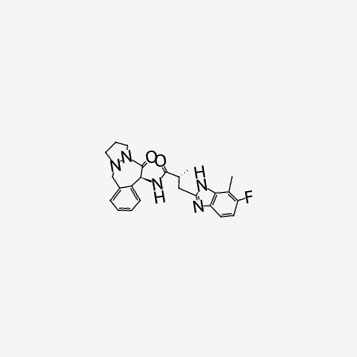 Cc1c(F)ccc2nc(C[C@@H](C)C(=O)N[C@@H]3C(=O)N4CCCN4Cc4ccccc43)[nH]c12